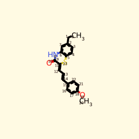 CCc1ccc2c(c1)NC(=O)C(=CC=Cc1ccc(OC)cc1)S2